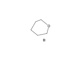 C1CCOCC1.[B]